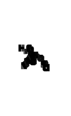 COCC1CN(Cc2ccc(-c3ccc(Cl)s3)cc2)CC(C=O)N1Cc1cc2cnccc2[nH]1